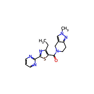 CCc1nc(-c2ncccn2)sc1C(=O)N1CCc2nn(C)cc2C1